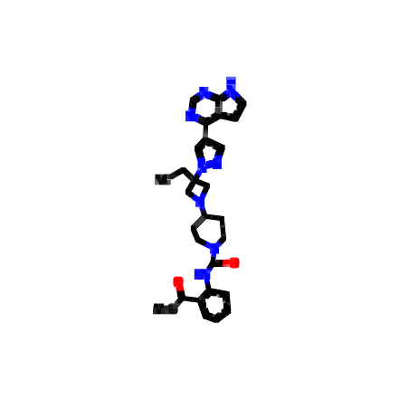 COC(=O)c1ccccc1NC(=O)N1CCC(N2CC(CC#N)(n3cc(-c4ncnc5[nH]ccc45)cn3)C2)CC1